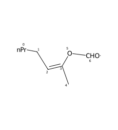 CCCCC=C(C)O[C]=O